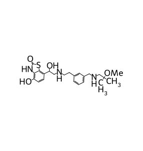 COC(C)(C)CNCc1cccc(CCNCC(O)c2ccc(O)c3[nH]c(=O)sc23)c1